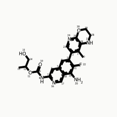 Cc1c(-c2cc3cc(NC(=O)OC(C)CO)ncc3c(N)c2F)cnc2c1NCCO2